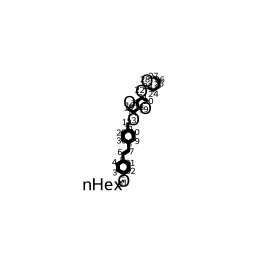 CCCCCCOc1ccc(C=Cc2ccc(CO[C@H]3COC4C3OC[C@H]4OC3CCCCO3)cc2)cc1